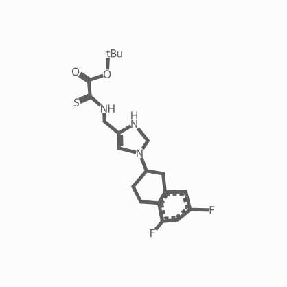 CC(C)(C)OC(=O)C(=S)NCC1=CN(C2CCc3c(F)cc(F)cc3C2)CN1